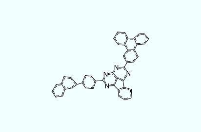 c1ccc2c(c1)-c1nc(-c3ccc(-c4ccc5ccccc5c4)cc3)nc3nc(-c4ccc5c6ccccc6c6ccccc6c5c4)nc-2c13